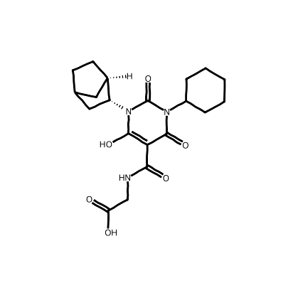 O=C(O)CNC(=O)c1c(O)n([C@@H]2CC3CC[C@@H]2C3)c(=O)n(C2CCCCC2)c1=O